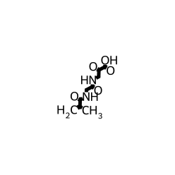 C=C(C)C(=O)NCC(=O)NCC(=O)C(=O)O